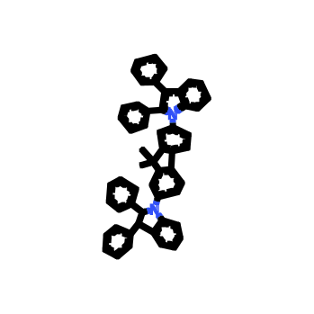 CC1(C)c2cc(N3c4ccccc4C(c4ccccc4)C3c3ccccc3)ccc2-c2ccc(-n3c(-c4ccccc4)c(-c4ccccc4)c4ccccc43)cc21